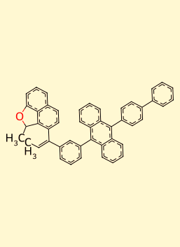 C/C=C(/c1cccc(-c2c3ccccc3c(-c3ccc(-c4ccccc4)cc3)c3ccccc23)c1)c1ccc2cccc3c2c1C(C)O3